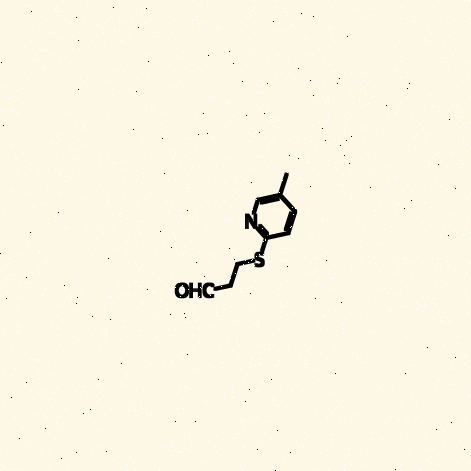 Cc1ccc(SCCC=O)nc1